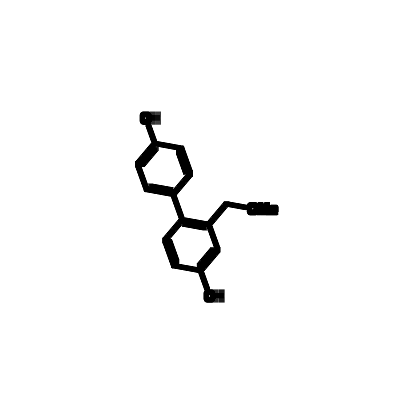 COCc1cc(O)ccc1-c1ccc(O)cc1